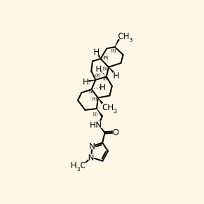 C[C@H]1CC[C@H]2[C@H](CC[C@@H]3[C@@H]2CC[C@]2(C)[C@@H](CNC(=O)c4ccn(C)n4)CCC[C@@H]32)C1